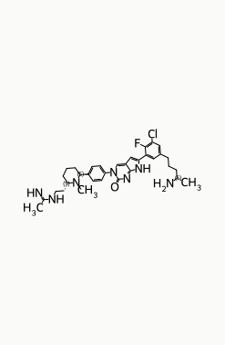 CC(=N)NCC[C@@H]1CCC[C@@H](c2ccc(-n3cc4cc(-c5cc(CCC[C@H](C)N)cc(Cl)c5F)[nH]c4nc3=O)cc2)N1C